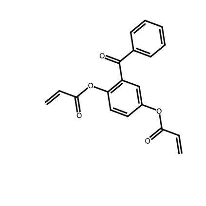 C=CC(=O)Oc1ccc(OC(=O)C=C)c(C(=O)c2ccccc2)c1